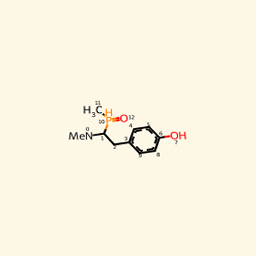 CNC(Cc1ccc(O)cc1)[PH](C)=O